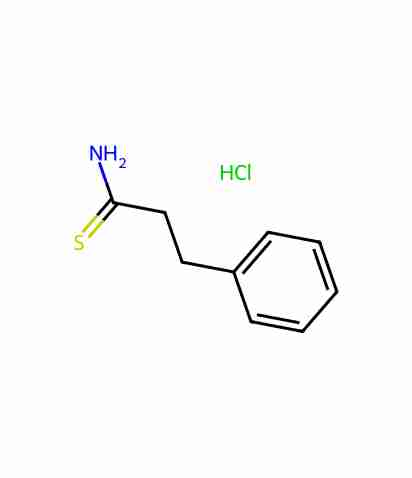 Cl.NC(=S)CCc1ccccc1